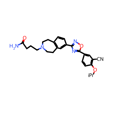 CC(C)Oc1ccc(-c2nc(-c3ccc4c(c3)CCN(CCCC(N)=O)CC4)no2)cc1C#N